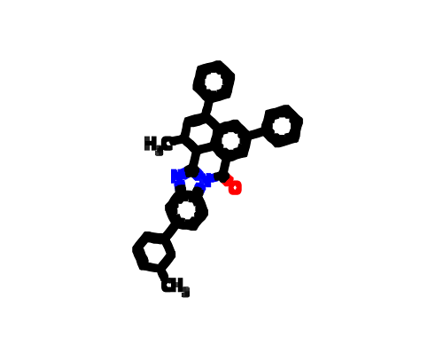 CC1C=CC=C(c2ccc3c(c2)nc2n3C(=O)c3cc(-c4ccccc4)cc4c3C2C(C)C=C4c2ccccc2)C1